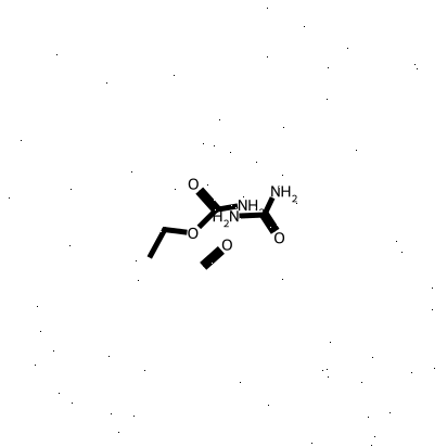 C=O.CCOC(N)=O.NC(N)=O